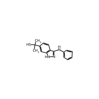 CC(C)(S)c1ccc2c(Nc3ccccc3)n[nH]c2c1